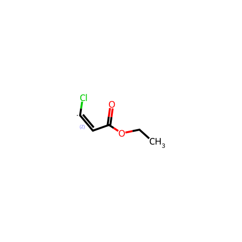 CCOC(=O)/C=[C]\Cl